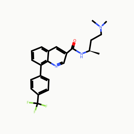 C[C@H](CCN(C)C)NC(=O)c1cnc2c(-c3ccc(C(F)(F)F)cc3)cccc2c1